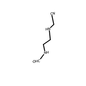 N#CCNCCN[C]=O